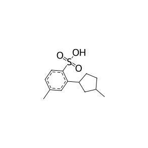 Cc1ccc(S(=O)(=O)O)c(C2CCC(C)C2)c1